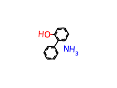 N.Oc1ccccc1-c1ccccc1